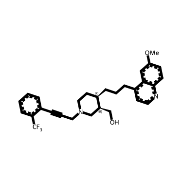 COc1ccc2nccc(CCC[C@@H]3CCN(CC#Cc4ccccc4C(F)(F)F)C[C@@H]3CO)c2c1